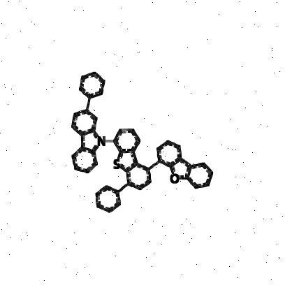 c1ccc(-c2ccc3c4ccccc4n(-c4cccc5c4sc4c(-c6ccccc6)ccc(-c6cccc7c6oc6ccccc67)c45)c3c2)cc1